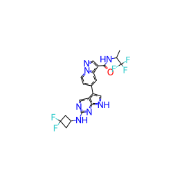 CC(NC(=O)c1cnn2ccc(-c3c[nH]c4nc(NC5CC(F)(F)C5)ncc34)cc12)C(F)(F)F